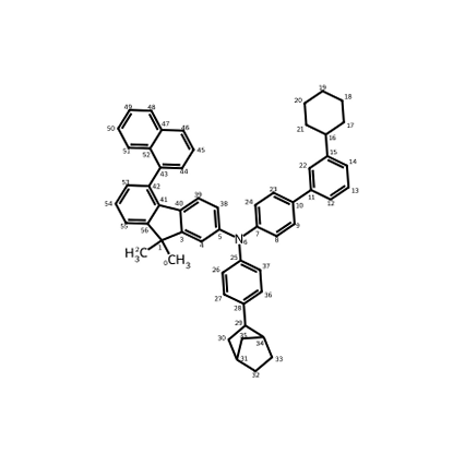 CC1(C)c2cc(N(c3ccc(-c4cccc(C5CCCCC5)c4)cc3)c3ccc(C4CC5CCC4C5)cc3)ccc2-c2c(-c3cccc4ccccc34)cccc21